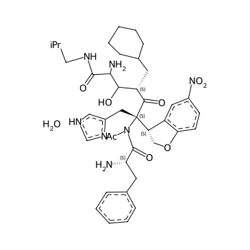 CC(=O)N(C(=O)[C@@H](N)Cc1ccccc1)[C@](Cc1c[nH]cn1)(C(=O)[C@@H](CC1CCCCC1)C(O)C(N)C(=O)NCC(C)C)[C@H]1COc2ccc([N+](=O)[O-])cc21.O